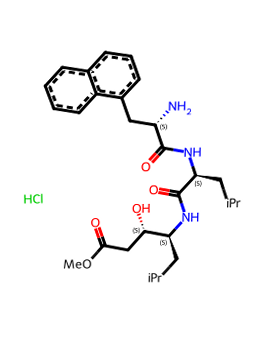 COC(=O)C[C@H](O)[C@H](CC(C)C)NC(=O)[C@H](CC(C)C)NC(=O)[C@@H](N)Cc1cccc2ccccc12.Cl